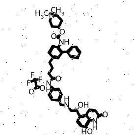 C[N+]1(C)CCC(OC(=O)Nc2ccc(CCCC(=O)Nc3ccc(CNC[C@H](O)c4ccc(O)c5[nH]c(=O)ccc45)cc3)cc2-c2ccccc2)CC1.O=C([O-])C(F)(F)F